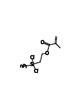 C=C(C)C(=O)OCC[Si](Cl)(Cl)CCC